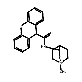 C[N+]12CCC(CC1)C(NC(=O)C1c3ccccc3Oc3ccccc31)C2